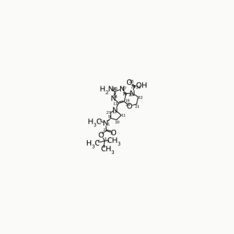 CN(C(=O)OC(C)(C)C)[C@@H]1CCN(c2nc(N)nc3c2OCCN3C(=O)O)C1